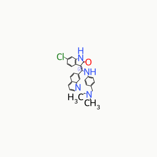 CCN(CC)Cc1ccc(N/C(=C2\C(=O)Nc3cc(Cl)ccc32)c2ccc3cccnc3c2)cc1